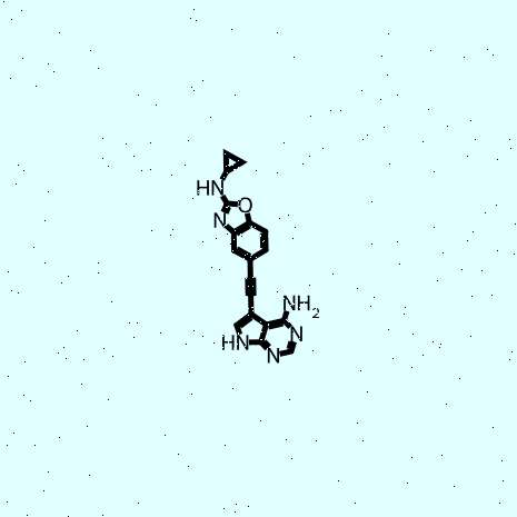 Nc1ncnc2[nH]cc(C#Cc3ccc4oc(NC5CC5)nc4c3)c12